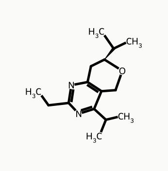 CCc1nc2c(c(C(C)C)n1)CO[C@H](C(C)C)C2